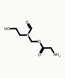 NCC(=O)OCN(C=O)CCO